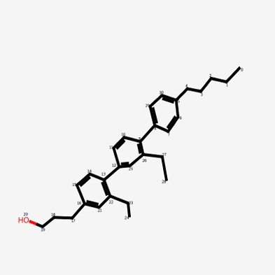 CCCCCc1ccc(-c2ccc(-c3ccc(CCCO)cc3CC)cc2CC)cc1